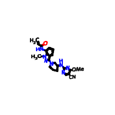 C=CC(=O)Nc1cccc2c(N3CCCC(Nc4ncc(C#N)c(OC)n4)C3)nn(C)c12